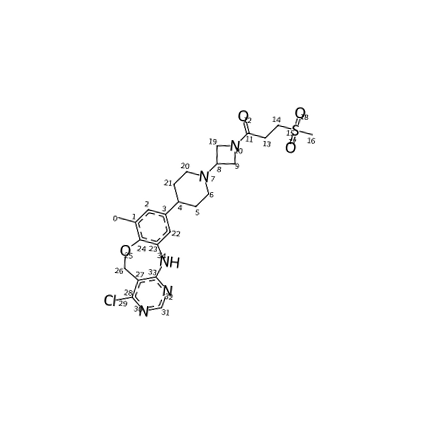 Cc1cc(C2CCN(C3CN(C(=O)CCS(C)(=O)=O)C3)CC2)cc2c1OCc1c(Cl)ncnc1N2